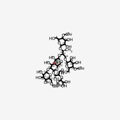 C[C@H](OC1OC(CO)C(OC(C)(C)C)C(O)C1O)C(COC1OC(CO)C(OC(C)(C)C)C(O)C1O)OC(OCC1OC(O[C@@H](C)C(CO)OC(OC(C)(C)C)C(O)O)C(OC2OC(COC(C)(C)C)C(O)C(O)C2O)C(O)C1O)C(O)O